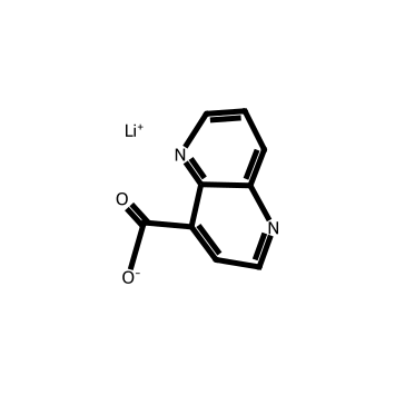 O=C([O-])c1ccnc2cccnc12.[Li+]